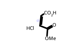 COC(=O)/C=C\C(=O)O.Cl